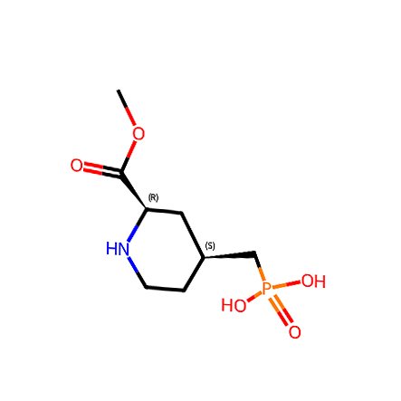 COC(=O)[C@H]1C[C@@H](CP(=O)(O)O)CCN1